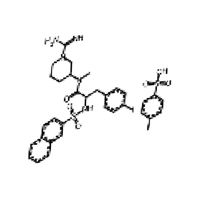 CN(C(=O)C(Cc1ccc(I)cc1)NS(=O)(=O)c1ccc2ccccc2c1)C1CCCN(C(=N)N)C1.Cc1ccc(S(=O)(=O)O)cc1